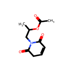 CC(=O)OC(C)CN1C(=O)C=CCC1=O